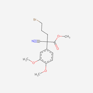 COC(=O)C(C#N)(CCCBr)c1ccc(OC)c(OC)c1